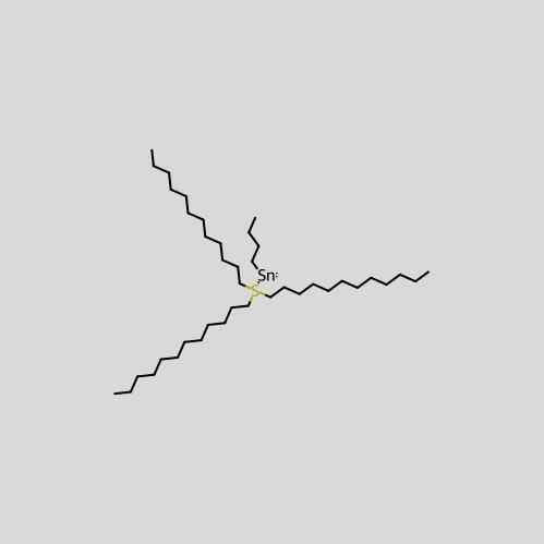 CCCCCCCCCCCC[S](CCCCCCCCCCCC)(CCCCCCCCCCCC)[Sn][CH2]CCC